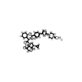 CN1CCN(c2nc(-c3ccc(C(=O)N[C@H](C(=O)N4C[C@@H](C5CC5)[C@H]5OCC(=O)[C@H]54)C4CCCCC4)cc3)cs2)CC1